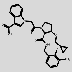 CC(=O)c1cn(CC(=O)N2CC[C@@H](OCC3CC3)[C@H]2C(=O)NCc2cccc(C)c2F)c2ccccc12